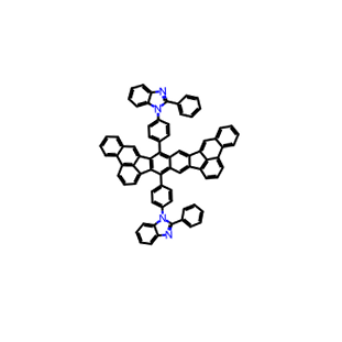 c1ccc(-c2nc3ccccc3n2-c2ccc(-c3c4cc5c(cc4c(-c4ccc(-n6c(-c7ccccc7)nc7ccccc76)cc4)c4c6cc7ccccc7c7cccc(c34)c76)c3cc4ccccc4c4cccc5c43)cc2)cc1